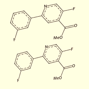 COC(=O)c1cc(-c2cccc(F)c2)ncc1F.COC(=O)c1cc(-c2cccc(F)c2)ncc1F